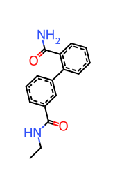 CCNC(=O)c1cccc(-c2ccccc2C(N)=O)c1